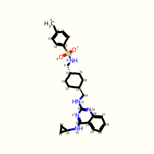 Cc1ccc(S(=O)(=O)NC[C@H]2CC[C@H](CNc3nc(NC4CC4)c4ccccc4n3)CC2)cc1